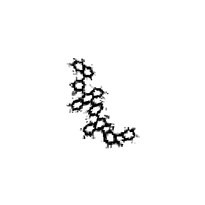 c1cc(-c2cccc3ccccc23)cc(-c2c3ccccc3c(-c3ccc(-c4cc5sc6c(ccc7sc8ccccc8c76)c5c5ccccc45)cc3)c3ccccc23)c1